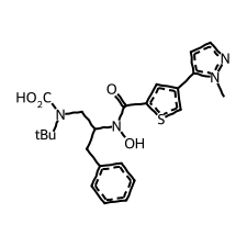 Cn1nccc1-c1csc(C(=O)N(O)C(Cc2ccccc2)CN(C(=O)O)C(C)(C)C)c1